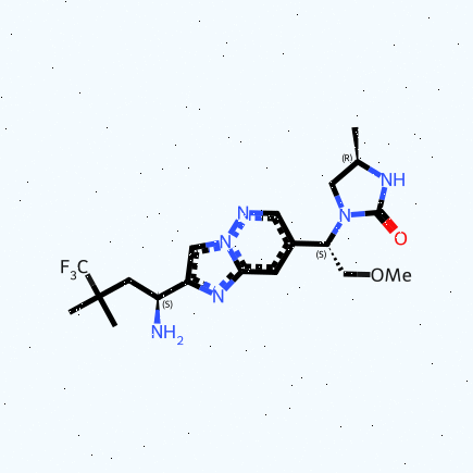 COC[C@H](c1cnn2cc([C@@H](N)CC(C)(C)C(F)(F)F)nc2c1)N1C[C@@H](C)NC1=O